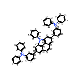 c1ccc(N(c2ccccc2)c2cccc(-c3cc4ccc5cc(-c6cccc(N(c7ccccc7)c7ccccc7)c6)cc6c5c4c(c3)n6-c3ccccc3)c2)cc1